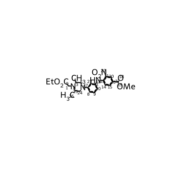 CCOC(=O)CN1C(C)CN(c2cccc(Nc3ccc(C(=O)OC)cc3[N+](=O)[O-])c2)CC1C